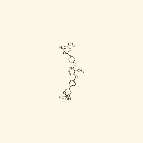 Cc1c(Oc2ccc(C3COS(O)(O)OC3)cc2)ncnc1OC1CCN(C(=O)OC(C)C)CC1